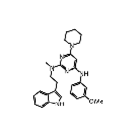 COc1cccc(Nc2cc(N3CCCCC3)nc(N(C)CCc3c[nH]c4ccccc34)n2)c1